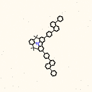 CC1(C)c2cccc3c2-n2c4c1cc(-c1ccc(-c5cccc6c(-c7ccccc7)cccc56)cc1)cc4c1cc(-c4ccc(-c5cccc6c(-c7ccccc7)cccc56)cc4)cc(c12)C3(C)C